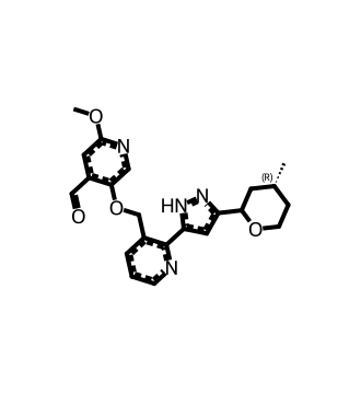 COc1cc(C=O)c(OCc2cccnc2-c2cc(C3C[C@H](C)CCO3)n[nH]2)cn1